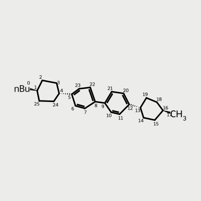 CCCC[C@H]1CC[C@H](c2ccc(-c3ccc([C@H]4CC[C@H](C)CC4)cc3)cc2)CC1